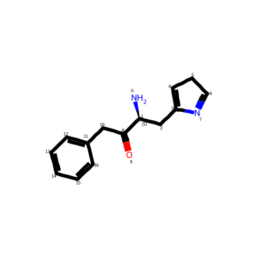 N[C@@H](CC1=CCC=N1)C(=O)Cc1ccccc1